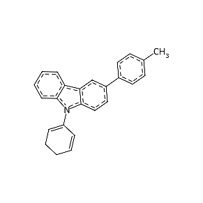 Cc1ccc(-c2ccc3c(c2)c2ccccc2n3C2=CCCC=C2)cc1